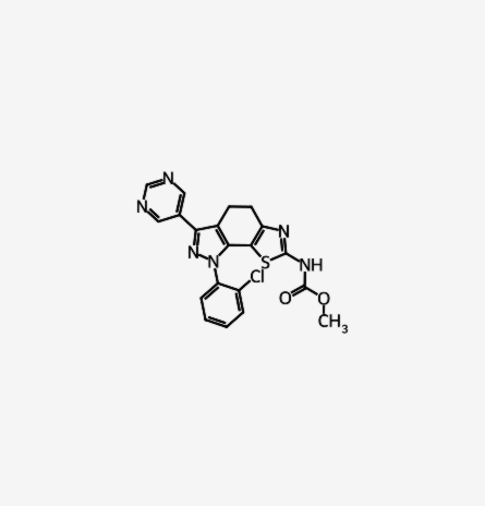 COC(=O)Nc1nc2c(s1)-c1c(c(-c3cncnc3)nn1-c1ccccc1Cl)CC2